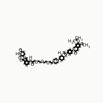 COc1cc2c(cc1OC(C)C)CN(c1ccc(N(C)C[C@H]3CC[C@H](N4CCN(CCOCCOCCOCC(=O)Nc5cccc6c5CN(C5CCC(=O)NC5=O)C6=O)CC4)CC3)cc1)C(=O)C2